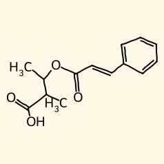 CC(OC(=O)/C=C/c1ccccc1)C(C)C(=O)O